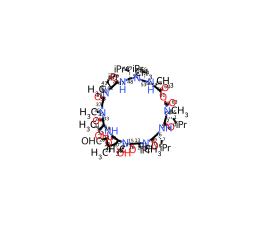 CC(C)C[C@@H]1C(=O)N[C@H](CC(C)C)C(=O)N(C)C(C(C)C)C(=O)N(C)C([C@H](O)[C@H](C)CC=O)C(=O)NC([C@@H](C)O)C(=O)N(C)CC(=O)N(C)[C@@H](CC(C)C)C(=O)N[C@H](CC(C)C)N(C)[C@H](CC(C)C)N[C@H](C)C(=O)OC(=O)N1C